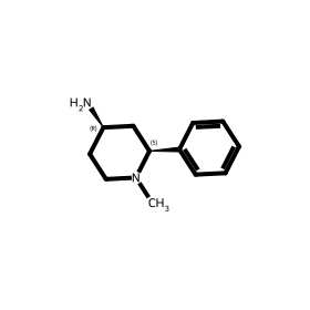 CN1CC[C@@H](N)C[C@H]1c1ccccc1